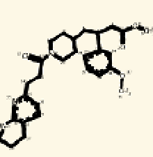 COC(=O)CC(CC1CCN(C(=O)CCc2ccc3c(n2)NCCC3)CC1)c1cccc(OC)c1